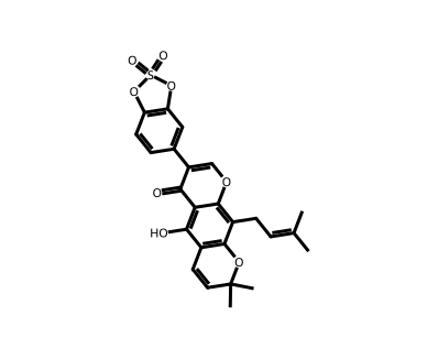 CC(C)=CCc1c2c(c(O)c3c(=O)c(-c4ccc5c(c4)OS(=O)(=O)O5)coc13)C=CC(C)(C)O2